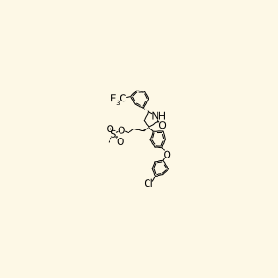 CS(=O)(=O)OCCC[C@@]1(c2ccc(Oc3ccc(Cl)cc3)cc2)C[C@H](c2cccc(C(F)(F)F)c2)NC1=O